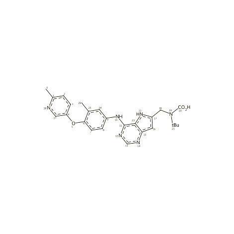 Cc1ccc(Oc2ccc(Nc3ncnc4cc(CN(C(=O)O)C(C)(C)C)[nH]c34)cc2C)cn1